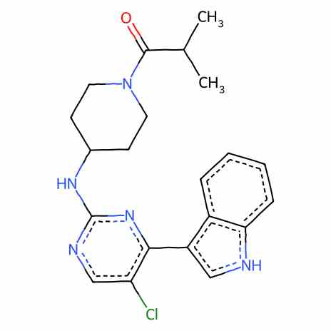 CC(C)C(=O)N1CCC(Nc2ncc(Cl)c(-c3c[nH]c4ccccc34)n2)CC1